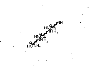 CNCCCC(N)C(=O)NC(=N)NCCCC(N)C(=O)NC(=N)NCCCC(N)C(=O)O